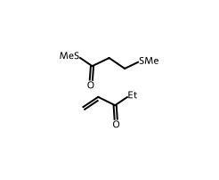 C=CC(=O)CC.CSCCC(=O)SC